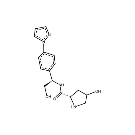 O=C(N[C@@H](CO)c1ccc(-n2cccn2)cc1)[C@@H]1CC(O)CN1